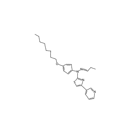 CCC=NN(c1ccc(OCCCCCCCC)cc1)c1nc(-c2cccnc2)cs1